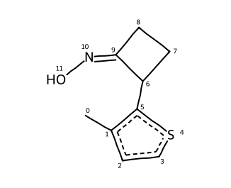 Cc1ccsc1C1CC/C1=N/O